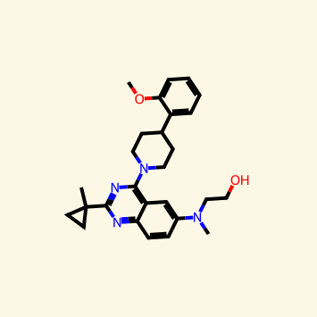 COc1ccccc1C1CCN(c2nc(C3(C)CC3)nc3ccc(N(C)CCO)cc23)CC1